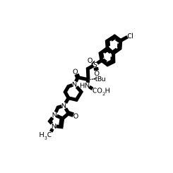 CN1C=C2C(=O)N(C3CCN(C(=O)[C@@](CS(=O)(=O)c4ccc5cc(Cl)ccc5c4)(NC(=O)O)C(C)(C)C)CC3)CN2C1